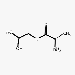 C[C@H](N)C(=O)OCC(O)O